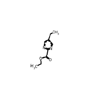 CCOC(=O)c1ncc(CC)cn1